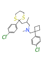 CC(CN(C)CC1(c2ccc(Cl)cc2)CCC1)CC1(c2ccc(Cl)cc2)SCCCS1